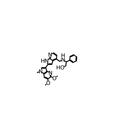 COc1cc2c(nc1OC)c(-c1cc3c(CNC(CO)c4ccccc4)ccnc3[nH]1)cn2C